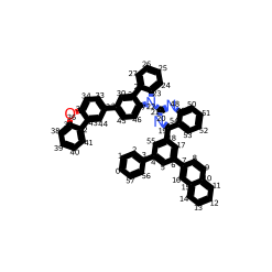 c1ccc(-c2cc(-c3ccc4ccccc4c3)cc(-c3nc(-n4c5ccccc5c5cc(-c6ccc7oc8ccccc8c7c6)ccc54)nc4ccccc34)c2)cc1